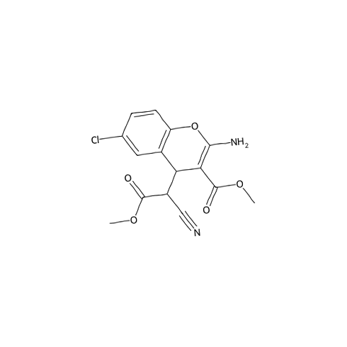 COC(=O)C1=C(N)Oc2ccc(Cl)cc2C1C(C#N)C(=O)OC